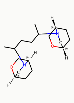 CC(CCC(C)N1C[C@@H]2CC[C@H]1CO2)N1C[C@H]2CC[C@@H]1CO2